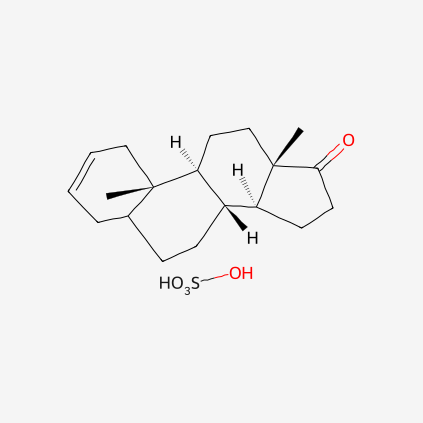 C[C@]12CC=CCC1CC[C@@H]1[C@@H]2CC[C@]2(C)C(=O)CC[C@@H]12.O=S(=O)(O)O